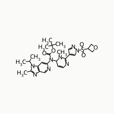 Cc1nc2cnc(N(C(=O)OC(C)(C)C)C3C=CN=C(c4cnn(S(=O)(=O)C5COC5)c4)N3C)cc2n1C(C)C